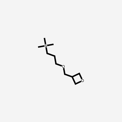 C[Si](C)(C)CCCOCC1COC1